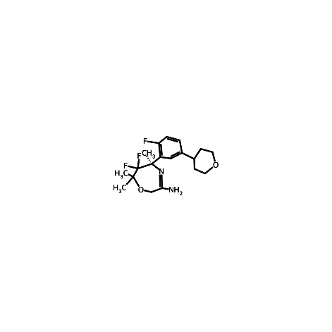 CC1(C)OCC(N)=N[C@](C)(c2cc(C3CCOCC3)ccc2F)C1(F)F